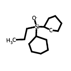 CCC[Si]([O])(C1CCCCC1)C1CCCCC1